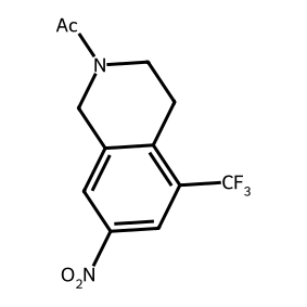 CC(=O)N1CCc2c(cc([N+](=O)[O-])cc2C(F)(F)F)C1